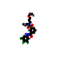 COCCCN(C)S(=O)(=O)c1cccc(C(=O)Nc2cc(F)c(F)c(F)c2)c1